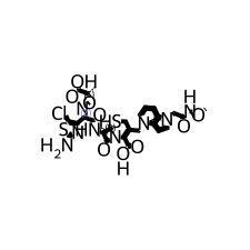 CONC(=O)Cn1ccc2c1ccc[n+]2CC1=C(C(=O)O)N2C(=O)[C@@H](NC(=O)/C(=N\O[C@@H](C)C(=O)O)c3nc(N)sc3Cl)[C@H]2SC1